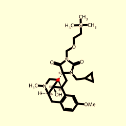 COc1ccc2c(c1)[C@]13CCN(C)[C@H](C2)[C@]1(O)CC[C@]1(C3)C(=O)N(COCC[Si](C)(C)C)C(=O)N1CC1CC1